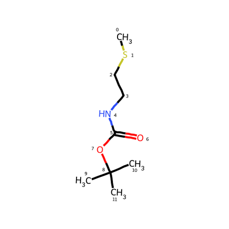 CSCCNC(=O)OC(C)(C)C